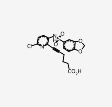 O=C(O)CCCC#Cc1nc(Cl)ccc1NS(=O)(=O)c1ccc2c(c1)OCO2